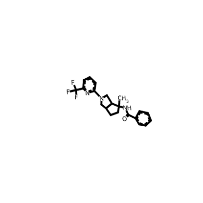 CC1(NC(=O)c2ccccc2)CCC2CN(c3cccc(C(F)(F)F)n3)CC21